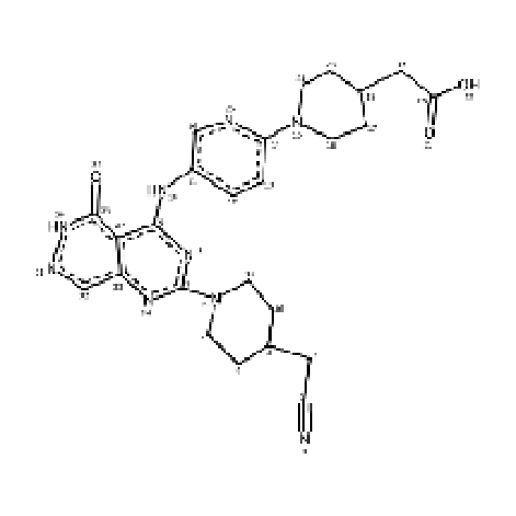 N#CCC1CCN(c2nc(Nc3ccc(N4CCC(CC(=O)O)CC4)nc3)c3c(=O)[nH]ncc3n2)CC1